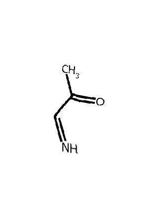 CC(=O)C=N